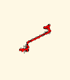 Cc1c(CC(=O)N(C)C)ccc(NC(=O)c2nn([C@@H]3CCCN(C(=O)/C=C/CN(C)CCOCCOCCOCCOCCOCCOCCOCCOCCOCCOCCNC(=O)c4cccc(-c5ccc6c(N7CCOCC7C)nc(N7CCOC[C@H]7C)nc6n5)c4)C3)c3ncnc(N)c23)c1C